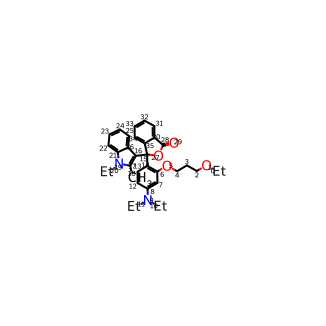 CCOCCCOc1cc(N(CC)CC)ccc1C1(c2c(C)n(CC)c3ccccc23)OC(=O)c2ccccc21